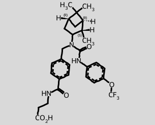 C[C@@H]1C(N(Cc2ccc(C(=O)NCCC(=O)O)cc2)C(=O)Nc2ccc(OC(F)(F)F)cc2)C[C@H]2C[C@H]1C2(C)C